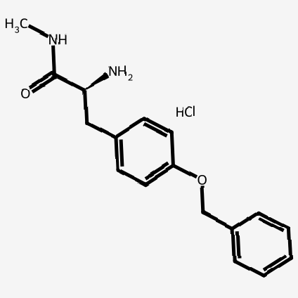 CNC(=O)[C@@H](N)Cc1ccc(OCc2ccccc2)cc1.Cl